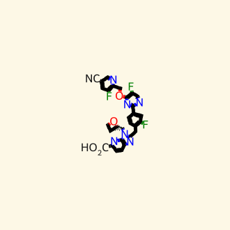 N#Cc1cnc(COc2nc(-c3ccc(Cc4nc5ccc(C(=O)O)nc5n4C[C@@H]4CCO4)c(F)c3)ncc2F)c(F)c1